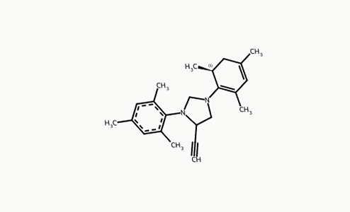 C#CC1CN(C2=C(C)C=C(C)C[C@@H]2C)CN1c1c(C)cc(C)cc1C